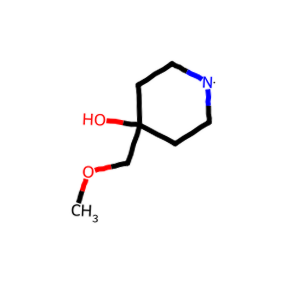 COCC1(O)CC[N]CC1